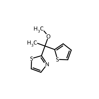 COC(C)(c1cccs1)c1nccs1